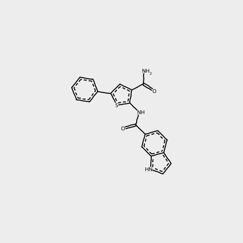 NC(=O)c1cc(-c2ccccc2)sc1NC(=O)c1ccc2cc[nH]c2c1